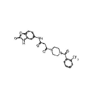 O=C(CC(=O)N1CCN(C(=O)c2ccccc2C(F)(F)F)CC1)Nc1ccc2oc(=O)[nH]c2c1